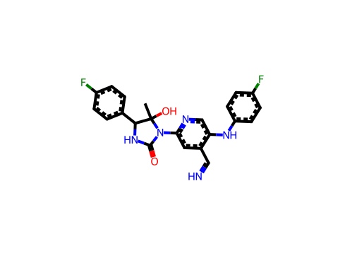 CC1(O)C(c2ccc(F)cc2)NC(=O)N1c1cc(C=N)c(Nc2ccc(F)cc2)cn1